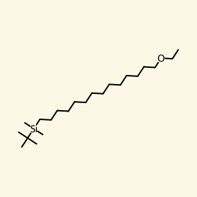 CCOCCCCCCCCCCCCCC[Si](C)(C)C(C)(C)C